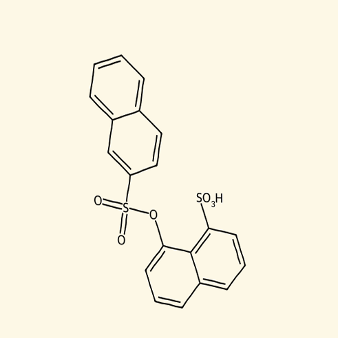 O=S(=O)(O)c1cccc2cccc(OS(=O)(=O)c3ccc4ccccc4c3)c12